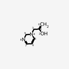 C=C(O)CN1C=CC=NC1